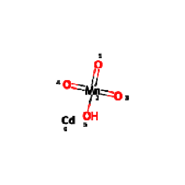 [Cd].[O]=[Mn](=[O])(=[O])[OH]